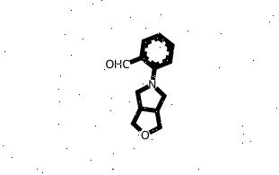 O=Cc1ccccc1N1CC2COCC2C1